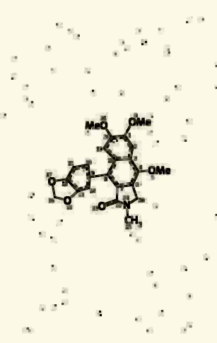 COc1cc2c(OC)c3c(c(-c4ccc5c(c4)OCO5)c2cc1OC)C(=O)N(C)C3